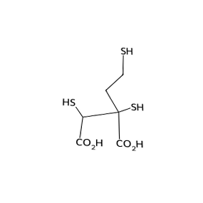 O=C(O)C(S)C(S)(CCS)C(=O)O